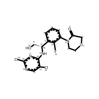 O=C1COCCN1c1cccc([C@@H](CO)Nc2nc(Cl)ncc2Cl)c1F